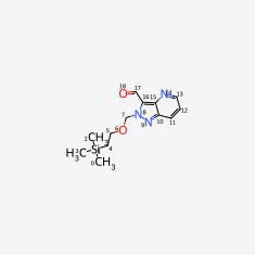 C[Si](C)(C)CCOCn1nc2cccnc2c1C=O